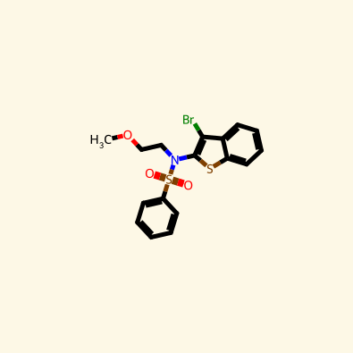 COCCN(c1sc2ccccc2c1Br)S(=O)(=O)c1ccccc1